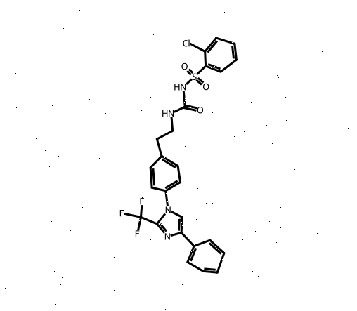 O=C(NCCc1ccc(-n2cc(-c3ccccc3)nc2C(F)(F)F)cc1)NS(=O)(=O)c1ccccc1Cl